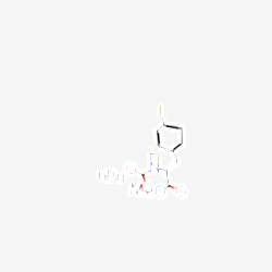 CCCCOC(=O)N[C@@H](Cc1ccc(I)cc1)C(=O)OC